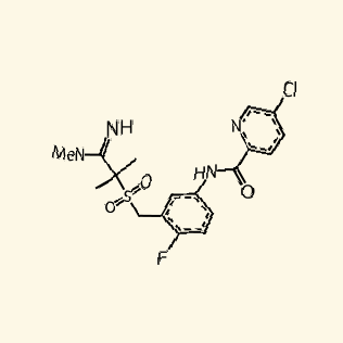 CNC(=N)C(C)(C)S(=O)(=O)Cc1cc(NC(=O)c2ccc(Cl)cn2)ccc1F